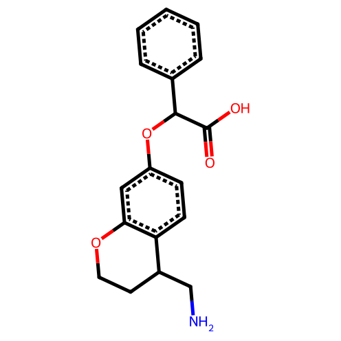 NCC1CCOc2cc(OC(C(=O)O)c3ccccc3)ccc21